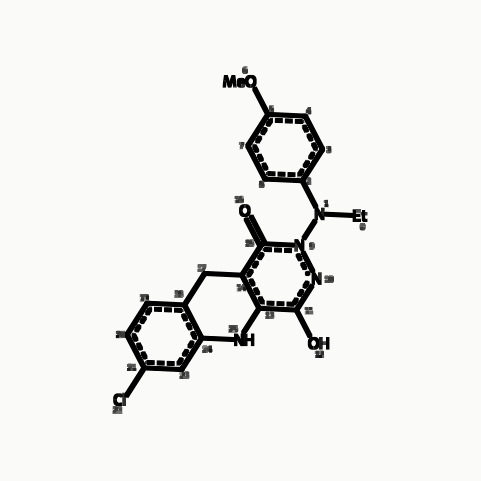 CCN(c1ccc(OC)cc1)n1nc(O)c2c(c1=O)Cc1ccc(Cl)cc1N2